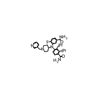 CC(C)c1c(C(N)=O)ccc(N(c2cc(C(N)=O)ccc2F)C2CCN(Cc3cccnc3)CC2)c1C(C)C